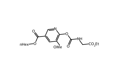 CCCCCCOC(=O)c1cnc(OC(=O)NCC(=O)OCC)c(OC)c1